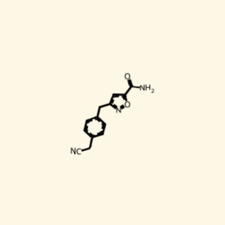 N#CCc1ccc(Cc2cc(C(N)=O)on2)cc1